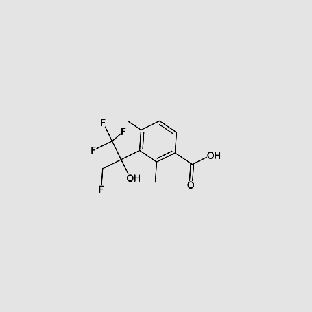 Cc1ccc(C(=O)O)c(C)c1C(O)(CF)C(F)(F)F